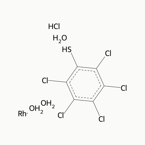 Cl.O.O.O.Sc1c(Cl)c(Cl)c(Cl)c(Cl)c1Cl.[Rh]